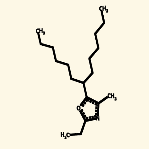 CCCCCCC(CCCCCC)c1oc(CC)nc1C